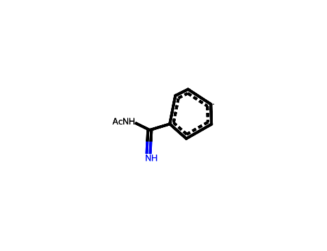 CC(=O)NC(=N)c1cc[c]cc1